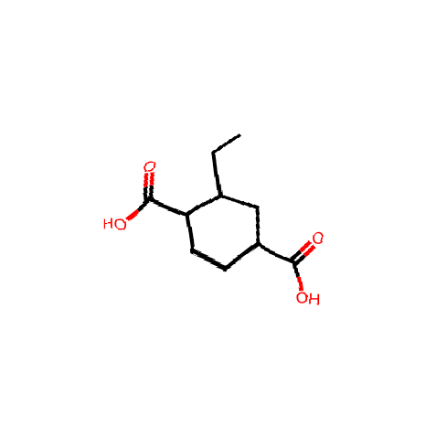 CCC1CC(C(=O)O)CCC1C(=O)O